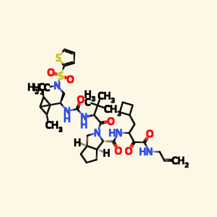 C=CCNC(=O)C(=O)C(CC1CCC1)NC(=O)[C@@H]1[C@H]2CCC[C@H]2CN1C(=O)[C@@H](NC(=O)N[C@H](CN(C)S(=O)(=O)c1cccs1)C12C(C)C1C2C)C(C)(C)C